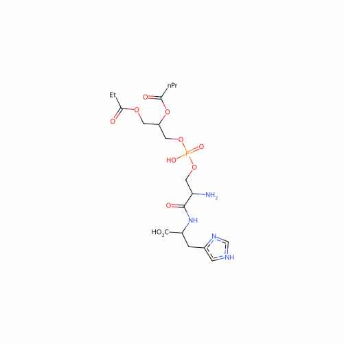 CCCC(=O)OC(COC(=O)CC)COP(=O)(O)OCC(N)C(=O)NC(Cc1c[nH]cn1)C(=O)O